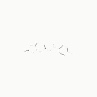 CC(NC(=O)CC1NC(=O)NC1=O)c1ccc(Cl)cc1